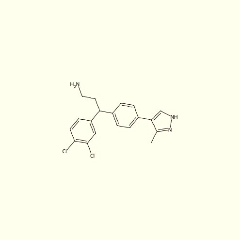 Cc1n[nH]cc1-c1ccc(C(CCN)c2ccc(Cl)c(Cl)c2)cc1